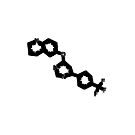 FC(F)(F)c1ccc(-c2cc(Oc3ccc4ncccc4c3)ncn2)cc1